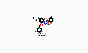 CC(C)N(c1ccc(C(F)(F)F)cc1OCC1CCC(C(=O)O)CC1)S(=O)(=O)c1ccccc1